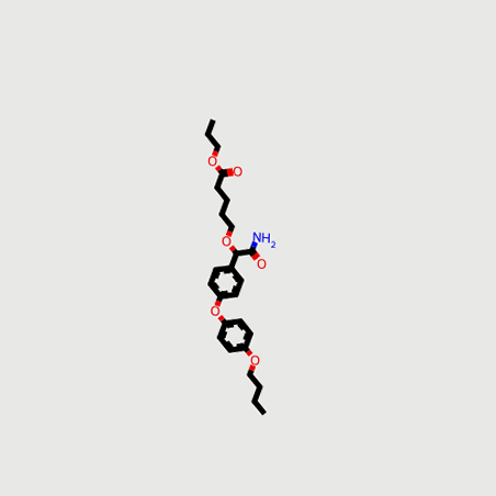 CCCCOc1ccc(Oc2ccc(C(OCCCCC(=O)OCCC)C(N)=O)cc2)cc1